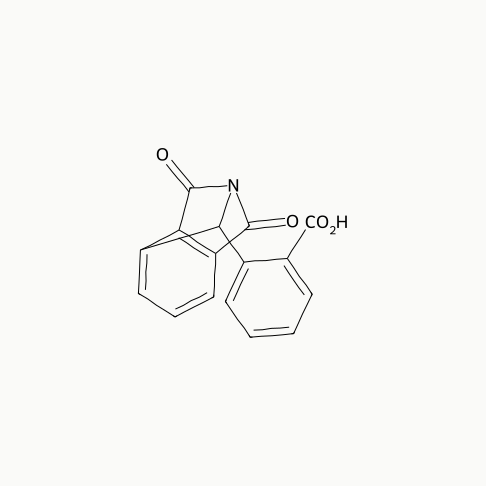 O=C(O)c1ccccc1C1c2cccc3c2C(=O)N1C3=O